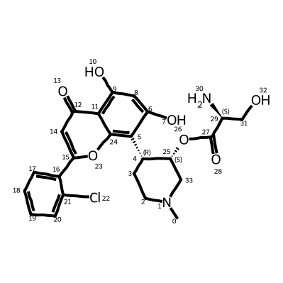 CN1CC[C@H](c2c(O)cc(O)c3c(=O)cc(-c4ccccc4Cl)oc23)[C@H](OC(=O)[C@@H](N)CO)C1